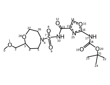 COCC1CCN(S(=O)(=O)NC(=O)c2coc(NC(=O)OC(C)(C)C)n2)CCO1